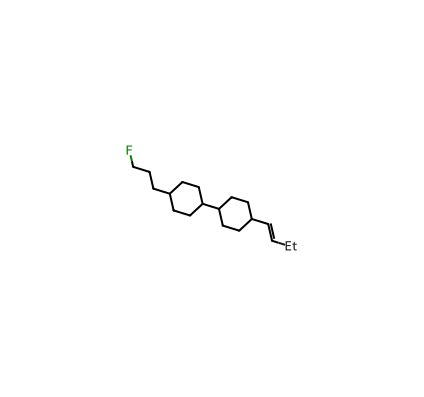 CCC=CC1CCC(C2CCC(CCCF)CC2)CC1